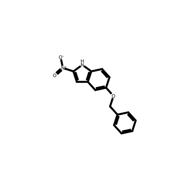 O=[N+]([O-])c1cc2cc(OCc3ccccc3)ccc2[nH]1